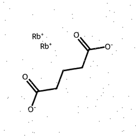 O=C([O-])CCCC(=O)[O-].[Rb+].[Rb+]